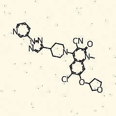 Cn1c(=O)c(C#N)c(N2CCC(c3cnn(-c4cccnc4)n3)CC2)c2cc(Cl)c(OC3CCOC3)cc21